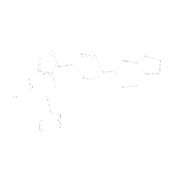 COc1cc2[nH]nc(-c3ccc(N4CC[C@@H]5CC[C@@H](O)N5C4)nc3)c2nc1-c1cccc(C)c1C